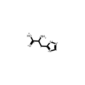 NC(Cc1ncns1)C(=O)O